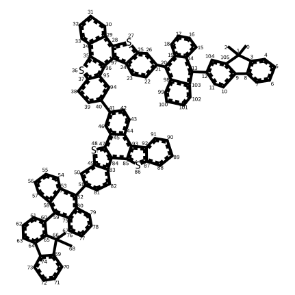 CC1(C)c2ccccc2-c2ccc(-c3c4ccccc4c(-c4ccc5c(c4)sc4c6ccccc6c6sc7ccc(-c8ccc9c(c8)c8sc%10cc(-c%11c%12ccccc%12c(-c%12cccc%13c%12C(C)(C)c%12ccccc%12-%13)c%12ccccc%11%12)ccc%10c8c8sc%10ccccc%10c98)cc7c6c54)c4ccccc34)cc21